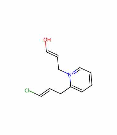 OC=CC[n+]1ccccc1CC=CCl